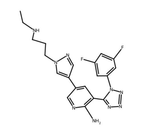 CCNCCCn1cc(-c2cnc(N)c(-c3nnnn3-c3cc(F)cc(F)c3)c2)cn1